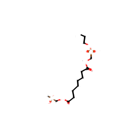 CCCOS(=O)(=O)COC(=O)CCCCCCC(=O)OCS(C)(=O)=O